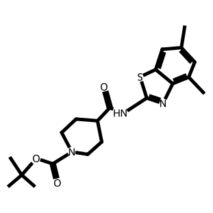 Cc1cc(C)c2nc(NC(=O)C3CCN(C(=O)OC(C)(C)C)CC3)sc2c1